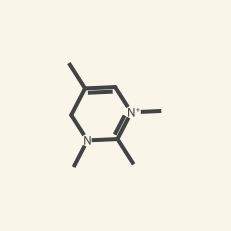 CC1=C[N+](C)=C(C)N(C)C1